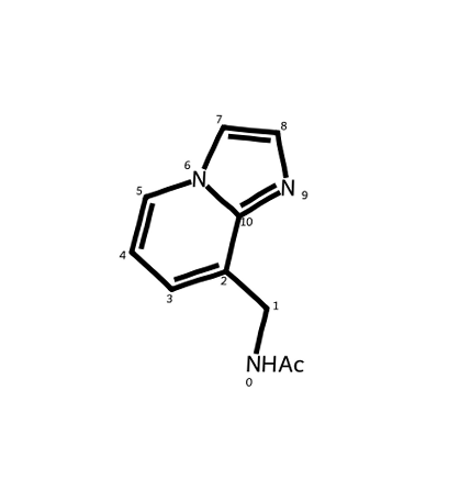 CC(=O)NCc1cccn2ccnc12